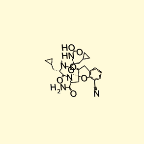 CN(C(=O)[C@H](CC1CC1)NC(=O)O)[C@@H](CC1CC1)C(=O)N1C[C@@]2(C[C@H]1C(N)=O)Oc1c(C#N)cccc1CC2=O